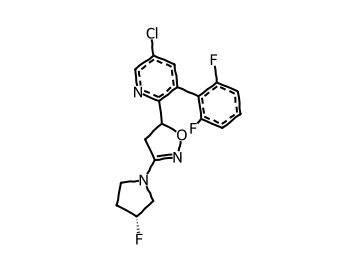 Fc1cccc(F)c1-c1cc(Cl)cnc1C1CC(N2CC[C@@H](F)C2)=NO1